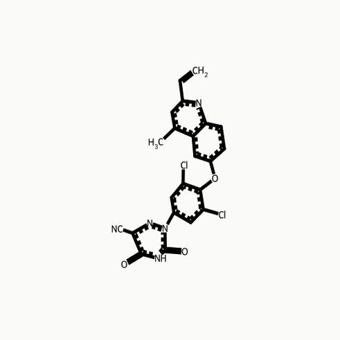 C=Cc1cc(C)c2cc(Oc3c(Cl)cc(-n4nc(C#N)c(=O)[nH]c4=O)cc3Cl)ccc2n1